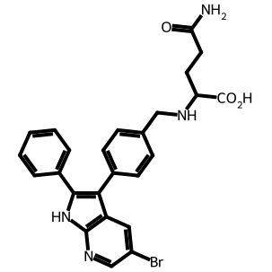 NC(=O)CCC(NCc1ccc(-c2c(-c3ccccc3)[nH]c3ncc(Br)cc23)cc1)C(=O)O